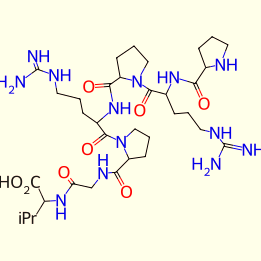 CC(C)C(NC(=O)CNC(=O)C1CCCN1C(=O)C(CCCNC(=N)N)NC(=O)C1CCCN1C(=O)C(CCCNC(=N)N)NC(=O)C1CCCN1)C(=O)O